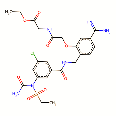 CCOC(=O)CNC(=O)COc1cc(C(=N)N)ccc1CNC(=O)c1cc(Cl)cc(N(C(N)=O)S(=O)(=O)CC)c1